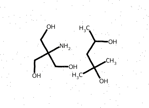 CC(O)CC(C)(C)O.NC(CO)(CO)CO